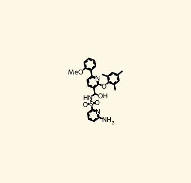 COc1ccccc1-c1ccc(C(O)NS(=O)(=O)c2cccc(N)n2)c(Oc2c(C)cc(C)cc2C)n1